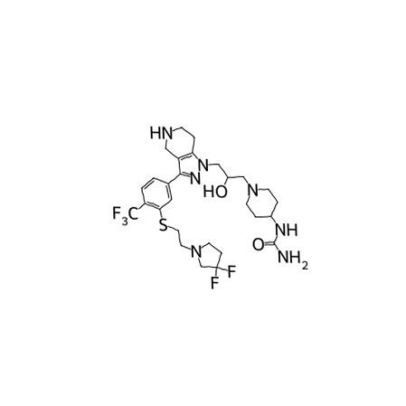 NC(=O)NC1CCN(CC(O)Cn2nc(-c3ccc(C(F)(F)F)c(SCCN4CCC(F)(F)C4)c3)c3c2CCNC3)CC1